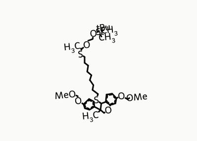 COCOc1ccc(C2(C)COc3cc(OCOC)ccc3C2SCCCCCCCCCSC(C)OCCO[Si](C)(C)C(C)(C)C)cc1